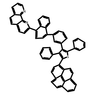 c1ccc(-c2sc(-c3ccc4ccc5cccc6ccc3c4c56)c(-c3ccccc3)c2-c2cccc(-c3ccc(-c4ccc5ccc6cccnc6c5n4)c4ccccc34)c2)cc1